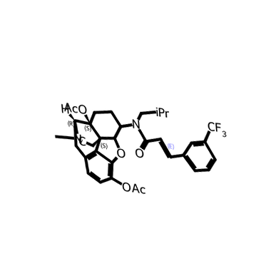 CC(=O)Oc1ccc2c3c1OC1C(N(CC(C)C)C(=O)/C=C/c4cccc(C(F)(F)F)c4)CC[C@@]4(OC(C)=O)[C@@H](C2)N(C)CC[C@]314